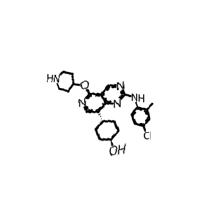 Cc1cc(Cl)ccc1Nc1ncc2c(OC3CCNCC3)ncc([C@H]3CC[C@H](O)CC3)c2n1